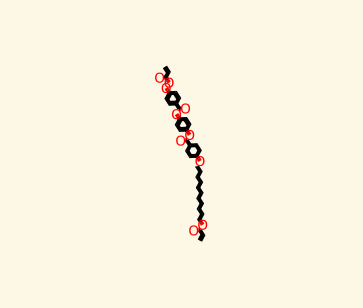 C=CC(=O)OCCCCCCCCCCCOC1CCC(C(=O)Oc2ccc(OC(=O)c3ccc(OOC(=O)C=C)cc3)cc2)CC1